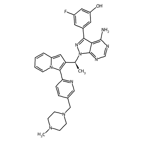 C[C@@H](c1cc2ccccn2c1-c1ccc(CN2CCN(C)CC2)cn1)n1nc(-c2cc(O)cc(F)c2)c2c(N)ncnc21